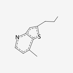 CCCc1cc2nccc(C)c2s1